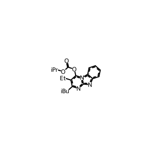 CCc1c(C(C)CC)nc2nc3ccccc3n2c1OC(=O)OC(C)C